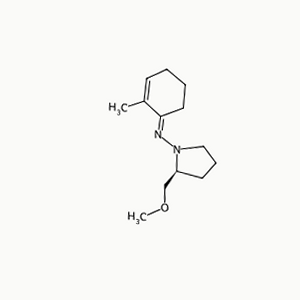 COC[C@@H]1CCCN1/N=C1\CCCC=C1C